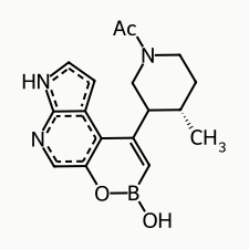 CC(=O)N1CC[C@H](C)C(C2=CB(O)Oc3cnc4[nH]ccc4c32)C1